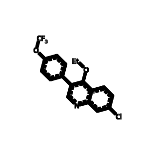 CCOc1c(-c2ccc(OC(F)(F)F)cc2)cnc2cc(Cl)ccc12